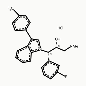 CNC[C@@H](O)[C@H](c1cccc(F)c1)n1cc(-c2ccc(C(F)(F)F)cc2)c2ccccc21.Cl